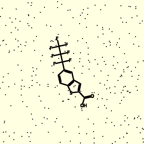 O=C(O)c1cc2cc(C(F)(F)C(F)(F)C(F)(F)F)ccc2s1